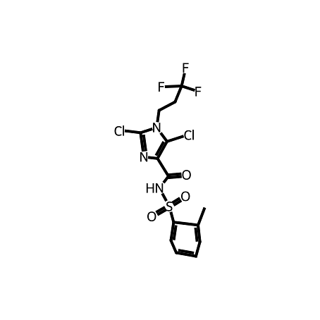 Cc1ccccc1S(=O)(=O)NC(=O)c1nc(Cl)n(CCC(F)(F)F)c1Cl